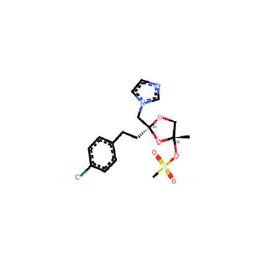 C[C@]1(OS(C)(=O)=O)CO[C@](CCc2ccc(Cl)cc2)(Cn2ccnc2)O1